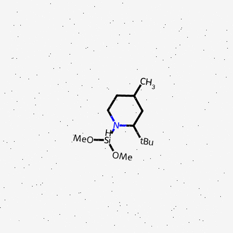 CO[SiH](OC)N1CCC(C)CC1C(C)(C)C